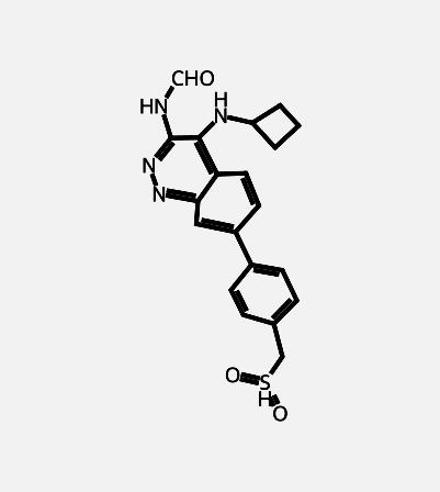 O=CNc1nnc2cc(-c3ccc(C[SH](=O)=O)cc3)ccc2c1NC1CCC1